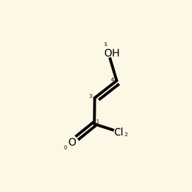 O=C(Cl)/C=C/O